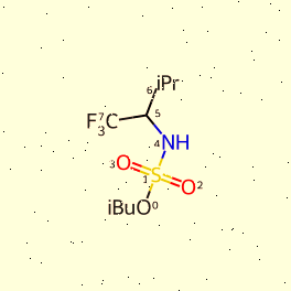 CC(C)COS(=O)(=O)NC(C(C)C)C(F)(F)F